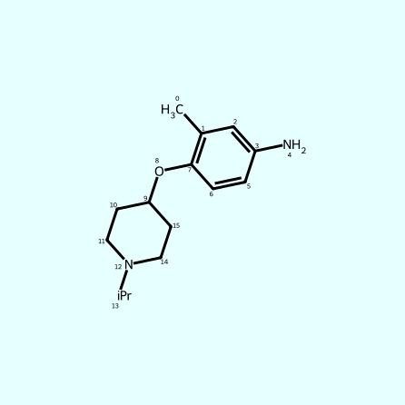 Cc1cc(N)ccc1OC1CCN(C(C)C)CC1